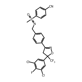 CS(=O)(=NCc1ccc(C2=NOC(c3cc(Cl)c(F)c(Cl)c3)(C(F)(F)F)C2)cc1)c1ccc(C#N)cc1